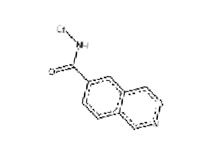 CCNC(=O)c1ccc2cnncc2c1